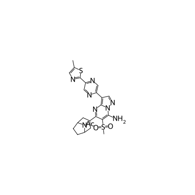 CC(=O)N1C2CCC1CC(c1nc3c(-c4cnc(-c5ncc(C)s5)cn4)cnn3c(N)c1S(C)(=O)=O)C2